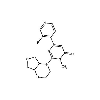 Cn1c(N2CCOC3COCC32)nc(-c2ccncc2F)cc1=O